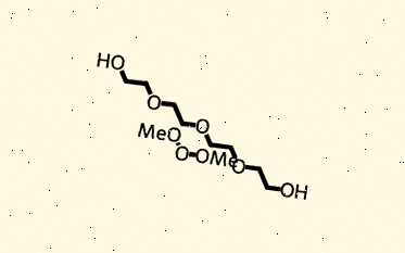 COOOC.OCCOCCOCCOCCO